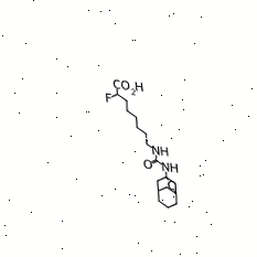 O=C(NCCCCCCC(F)C(=O)O)NC12CC3CCCC(C3)(C1)C2